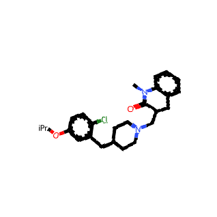 CC(C)Oc1ccc(Cl)c(CC2CCN(CC3Cc4ccccc4N(C)C3=O)CC2)c1